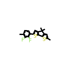 Cc1cc2c(s1)-c1sc(-c3ccc(C)c(F)c3F)cc1C2(C)C